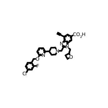 C#Cc1cc(C(=O)O)cc2c1nc(CN1CCC(c3cccc(OCc4ccc(Cl)cc4F)n3)CC1)n2CC1CCO1